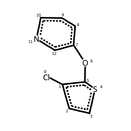 Clc1ccsc1Oc1cccnc1